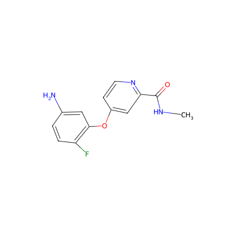 CNC(=O)c1cc(Oc2cc(N)ccc2F)ccn1